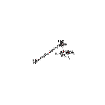 CCCN(CCCNC(=O)CC(C)(C)C)C(=O)C1=Cc2sc(CCCCCNC(O)[C@H](CS(=O)(=O)O)NC(=O)CCOCCOCCOCCOCCOCCOCCOCCOCCOCCOCCC(=O)Oc3c(F)c(F)cc(F)c3F)cc2N=C(N)C1